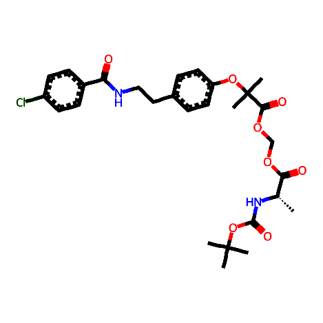 C[C@H](NC(=O)OC(C)(C)C)C(=O)OCOC(=O)C(C)(C)Oc1ccc(CCNC(=O)c2ccc(Cl)cc2)cc1